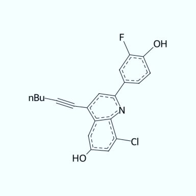 CCCCC#Cc1cc(-c2ccc(O)c(F)c2)nc2c(Cl)cc(O)cc12